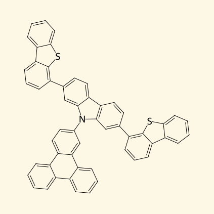 c1ccc2c(c1)sc1c(-c3ccc4c5ccc(-c6cccc7c6sc6ccccc67)cc5n(-c5ccc6c7ccccc7c7ccccc7c6c5)c4c3)cccc12